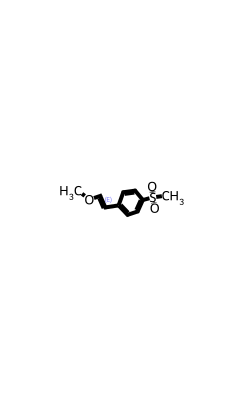 CO/C=C/c1ccc(S(C)(=O)=O)cc1